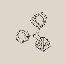 c1ccc(C(c2ccccc2)[C]23[CH]4[CH]5[CH]6[CH]2[Fe]56432789[CH]3[CH]2[CH]7[C]8(C(c2ccccc2)c2ccccc2)[CH]39)cc1